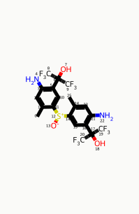 Cc1cc(N)c(C(O)(C(F)(F)F)C(F)(F)F)cc1[S+]([O-])c1cc(C(O)(C(F)(F)F)C(F)(F)F)c(N)cc1C